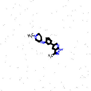 Cc1n[nH]c2ncc(-c3cccc(NC4CCN(C)CC4)c3)cc12